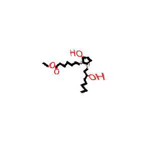 CCCCCC(O)C=C[C@H]1C=C[C@@H](O)[C@H]1CCCCCCC(=O)OCC